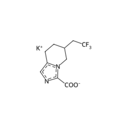 O=C([O-])c1ncc2n1CC(CC(F)(F)F)CC2.[K+]